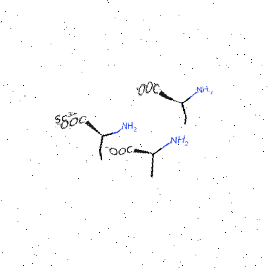 C[C@H](N)C(=O)[O-].C[C@H](N)C(=O)[O-].C[C@H](N)C(=O)[O-].[Sc+3]